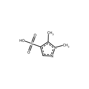 Cc1c(S(=O)(=O)O)cnn1C